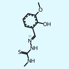 CNC(=S)N/N=C/c1cccc(OC)c1O